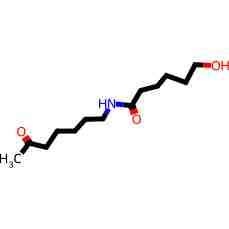 CC(=O)CCCCCNC(=O)CCCCCO